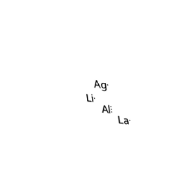 [Ag].[Al].[La].[Li]